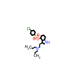 CCCN(CCC)CCc1c[nH]c2cccc(OS(=O)(=O)c3ccc(Cl)cc3)c12